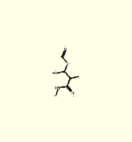 CNC(=O)C(C)C(O)NC=O